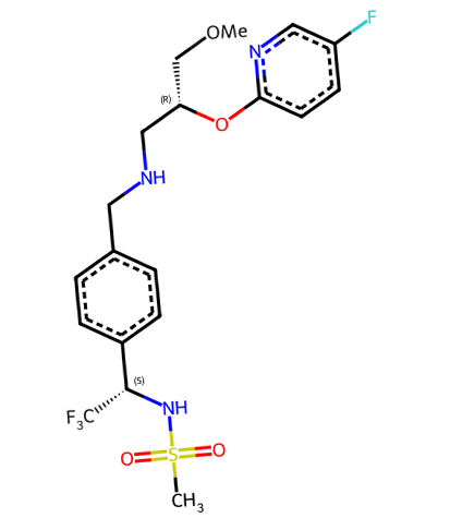 COC[C@@H](CNCc1ccc([C@H](NS(C)(=O)=O)C(F)(F)F)cc1)Oc1ccc(F)cn1